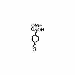 COOB(O)C1=CCC(=C=O)C=C1